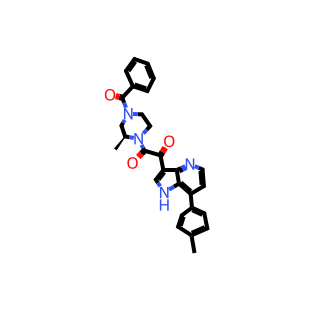 Cc1ccc(-c2ccnc3c(C(=O)C(=O)N4CCN(C(=O)c5ccccc5)C[C@@H]4C)c[nH]c23)cc1